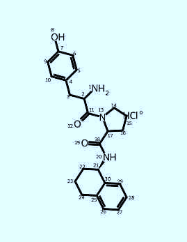 Cl.NC(Cc1ccc(O)cc1)C(=O)N1CCCC1C(=O)N[C@@H]1CCCc2ccccc21